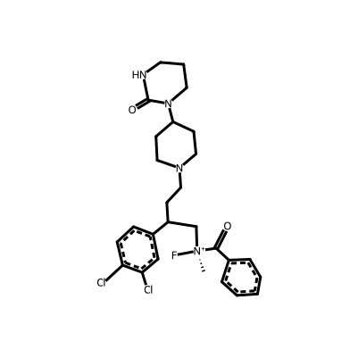 C[N@+](F)(CC(CCN1CCC(N2CCCNC2=O)CC1)c1ccc(Cl)c(Cl)c1)C(=O)c1ccccc1